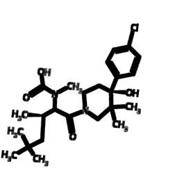 C[C@H](CC(C)(C)C)C(C(=O)N1CC[C@](O)(c2ccc(Cl)cc2)C(C)(C)C1)N(C)C(=O)O